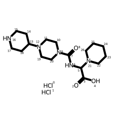 Cl.Cl.O=C(O)C(NC(=O)N1CCN(C2CCNCC2)CC1)N1CCCCC1